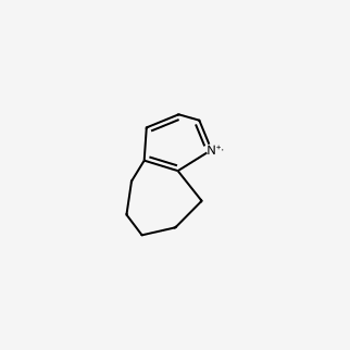 C1=CC2=C(CCCCC2)[N+]=C1